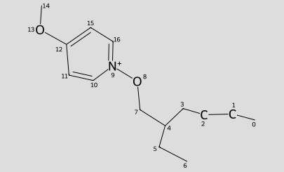 CCCCC(CC)CO[n+]1ccc(OC)cc1